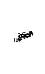 CCN(CC)c1ccc2nc3c4c(C)cc(O)cc4c(=O)cc-3sc2c1